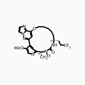 CCN1C(=O)N[C@@H](CCC(F)(F)F)CCCCCOc2cc(nn3ccnc23)-c2cc(ncc2OC)[C@H]1C